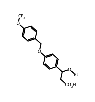 CCOC(CC(=O)O)c1ccc(OCc2ccc(OC(F)(F)F)cc2)cc1